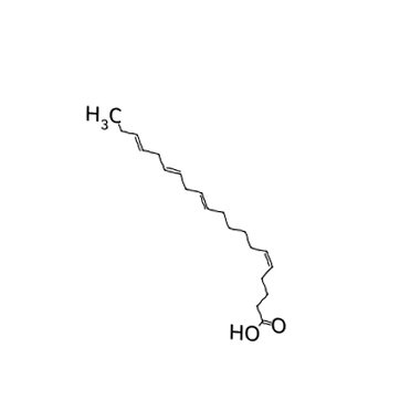 CCC=CCC=CCC=CCCCC/C=C\CCCC(=O)O